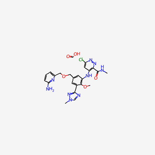 CNC(=O)c1nnc(Cl)cc1Nc1cc(COCc2cccc(N)n2)cc(-c2ncn(C)n2)c1OC.O=CO